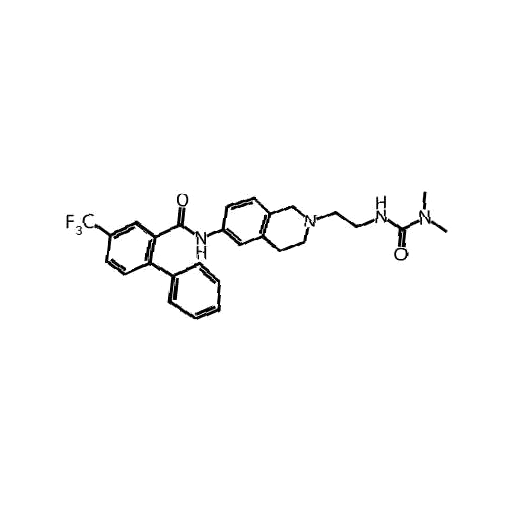 CN(C)C(=O)NCCN1CCc2cc(NC(=O)c3cc(C(F)(F)F)ccc3-c3ccccc3)ccc2C1